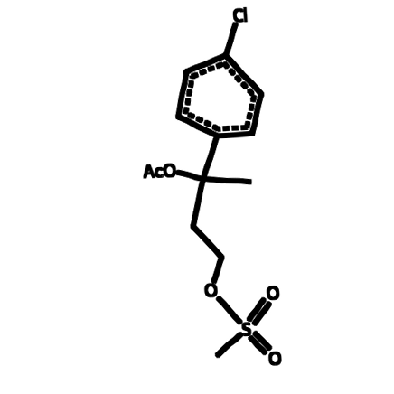 CC(=O)OC(C)(CCOS(C)(=O)=O)c1ccc(Cl)cc1